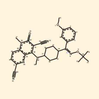 COc1cccc(/C(=N\OC(C)(C)C)C2CCC(N(C)c3c(C#N)c(=O)n(C)c4ccc(C#N)nc34)CC2)c1